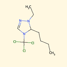 CCCCC1N(CC)N=CN1C(Cl)(Cl)Cl